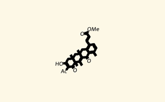 COC(=O)/C=C/c1ccc(C)c2c1CC1(C)CC3(C)CC(O)=C(C(C)=O)C(=O)C3(C)C(C)=C1C2=O